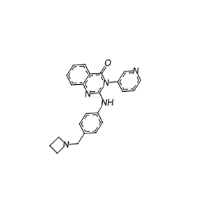 O=c1c2ccccc2nc(Nc2ccc(CN3CCC3)cc2)n1-c1cccnc1